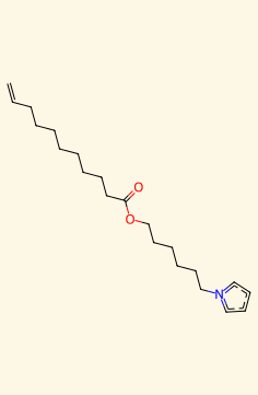 C=CCCCCCCCCC(=O)OCCCCCCn1cccc1